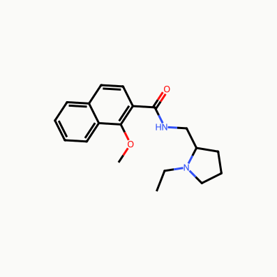 CCN1CCCC1CNC(=O)c1ccc2ccccc2c1OC